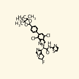 CC1(C)OC(c2ccc(-c3cc(Cl)c4cn([C@@H](C(=O)Nc5nccs5)c5ncn6c5C[C@@H](F)C6)nc4c3Cl)cc2)OC1(C)C